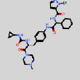 CCn1nccc1C(=O)N[C@H](C(=O)Nc1ccc(C[C@@H](NC(=O)NC2CC2)C(=O)N2CCN(C)CC2)cc1)C1CCCCC1